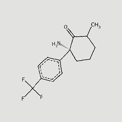 CC1CCC[C@@](N)(c2ccc(C(F)(F)F)cc2)C1=O